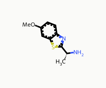 COc1ccc2nc([C@@H](C)N)sc2c1